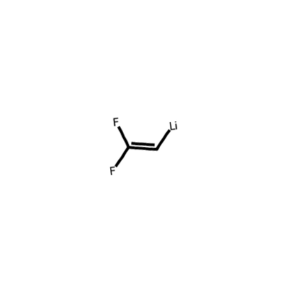 [Li][CH]=C(F)F